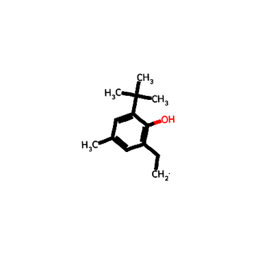 [CH2]Cc1cc(C)cc(C(C)(C)C)c1O